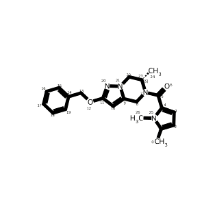 Cc1ccc(C(=O)N2Cc3cc(OCc4ccccc4)nn3C[C@@H]2C)n1C